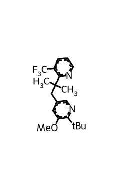 COc1cc(CC(C)(C)c2ncccc2C(F)(F)F)cnc1C(C)(C)C